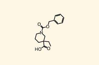 CCC1(C(=O)O)CCCN(C(=O)OCc2ccccc2)C1